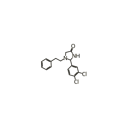 O=C1CN(CCc2ccccc2)C(c2ccc(Cl)c(Cl)c2)N1